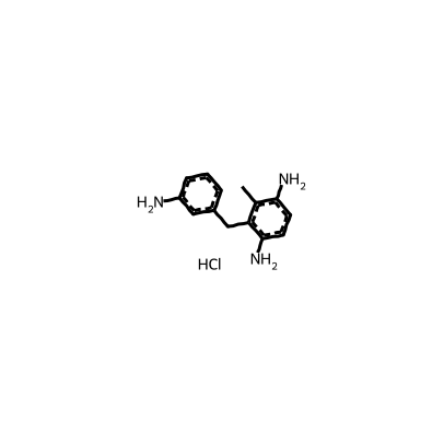 Cc1c(N)ccc(N)c1Cc1cccc(N)c1.Cl